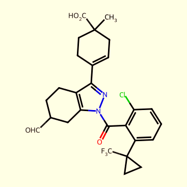 CC1(C(=O)O)CC=C(c2nn(C(=O)c3c(Cl)cccc3C3(C(F)(F)F)CC3)c3c2CCC(C=O)C3)CC1